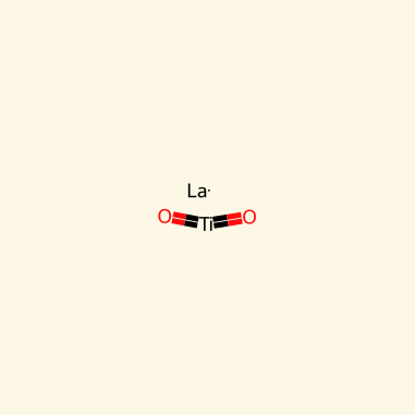 [La].[O]=[Ti]=[O]